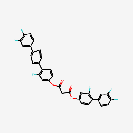 O=C(CC(=O)Oc1ccc(-c2ccc(F)c(F)c2)c(F)c1)Oc1ccc(-c2ccc(-c3ccc(F)c(F)c3)cc2)c(F)c1